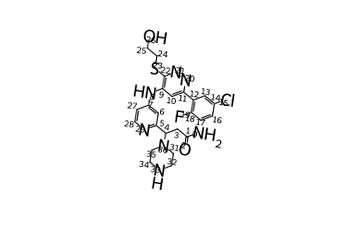 NC(=O)CC(c1cc(Nc2cc(-c3cc(Cl)ccc3F)nnc2SCCO)ccn1)N1CCNCC1